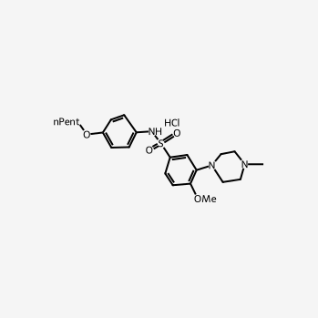 CCCCCOc1ccc(NS(=O)(=O)c2ccc(OC)c(N3CCN(C)CC3)c2)cc1.Cl